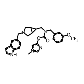 Cn1cnc(OC(=O)N(Cc2cccc(OC(F)(F)F)c2)CC2C3CN(Cc4ccc5[nH]ccc5c4)CC32)c1